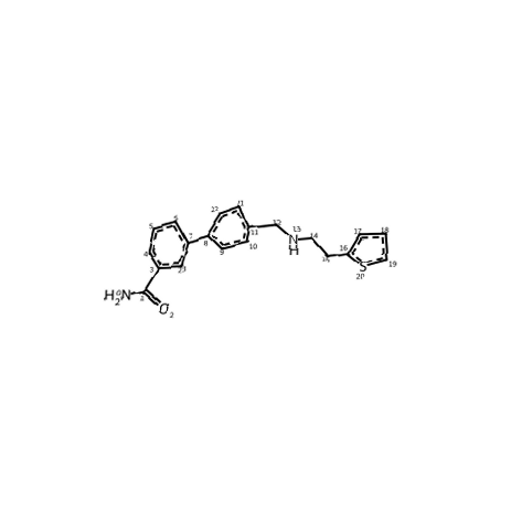 NC(=O)c1cccc(-c2ccc(CNCCc3cccs3)cc2)c1